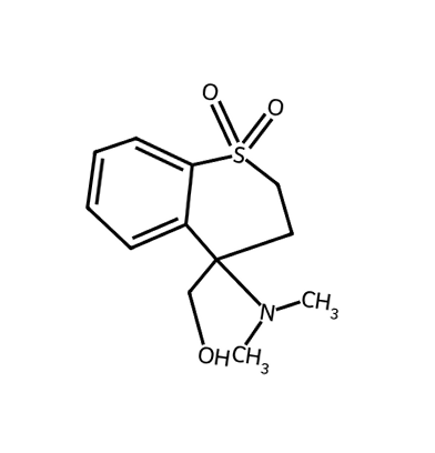 CN(C)C1(CO)CCS(=O)(=O)c2ccccc21